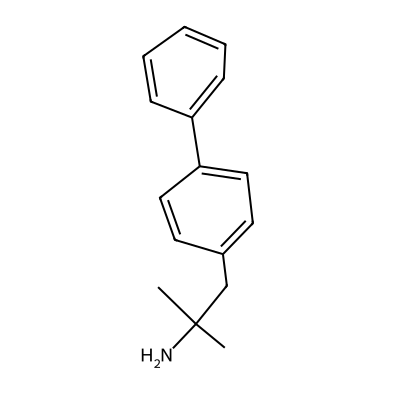 CC(C)(N)Cc1ccc(-c2ccccc2)cc1